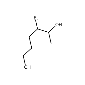 CC[C](CCCO)C(C)O